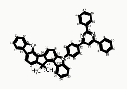 CC1(C)c2ccc3c(oc4ccccc43)c2-c2ccc3c(c21)c1ccccc1n3-c1ccc(-c2cc(-c3ccccc3)nc(-c3ccccc3)n2)cc1